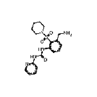 NCc1cccc(NC(=O)Nc2ccccn2)c1S(=O)(=O)N1CCCCC1